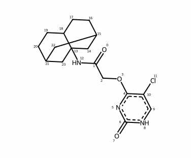 O=C(COc1nc(=O)[nH]cc1Cl)NC12CC3CCC1CCC(C3)C2